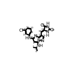 CC(C)Nc1cc(Nc2cccc(Cl)c2)nc2c(/C=C3\NC(=O)NC3=O)cnn12